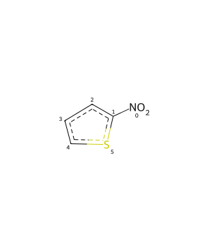 O=[N+]([O-])c1cccs1